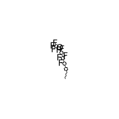 CCCCCc1ccc(-c2ccc(-c3cc(F)c(-c4ccc(C(F)(F)Oc5cc(F)c(F)c(F)c5)cc4)c(F)c3)c(F)c2)cc1